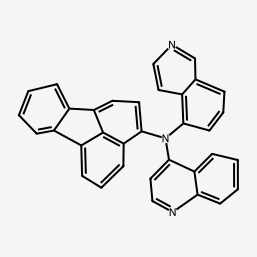 c1ccc2c(c1)-c1cccc3c(N(c4cccc5cnccc45)c4ccnc5ccccc45)ccc-2c13